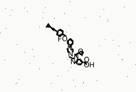 O=C(O)c1ccc2nc(CN3CCN(c4cccc(OCc5ccc(C#CC6CC6)cc5F)c4)CC3)n(CC3CCO3)c2c1